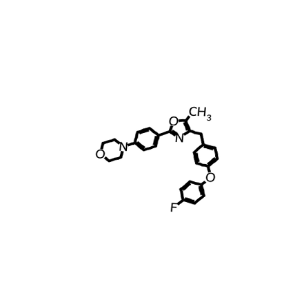 Cc1oc(-c2ccc(N3CCOCC3)cc2)nc1Cc1ccc(Oc2ccc(F)cc2)cc1